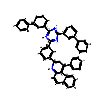 c1ccc(-c2cccc(-c3nc(-c4cccc(-c5ccccc5)c4)nc(-c4cccc(-c5cc(-c6ccccc6)c6c(ccc7ccccc76)n5)c4)n3)c2)cc1